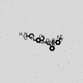 NC(=O)C1CCCN(Cc2ccc3c(c2)OCCC3NC(=O)CC(NS(=O)(=O)c2cccc(C(F)(F)F)c2)c2ccccc2)C1